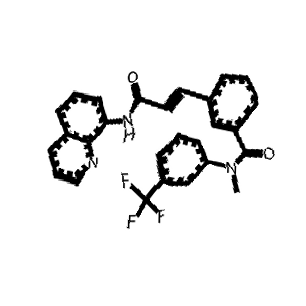 CN(C(=O)c1cccc(C=CC(=O)Nc2cccc3cccnc23)c1)c1cccc(C(F)(F)F)c1